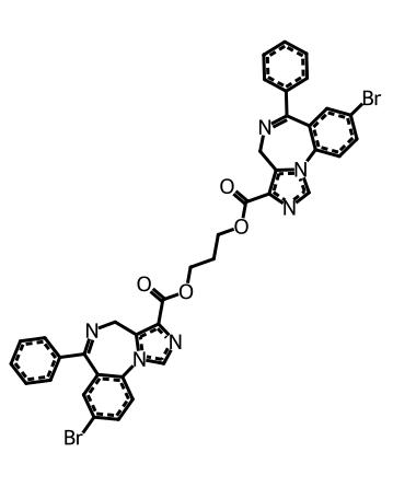 O=C(OCCCOC(=O)c1ncn2c1CN=C(c1ccccc1)c1cc(Br)ccc1-2)c1ncn2c1CN=C(c1ccccc1)c1cc(Br)ccc1-2